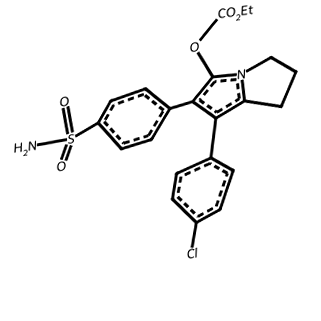 CCOC(=O)Oc1c(-c2ccc(S(N)(=O)=O)cc2)c(-c2ccc(Cl)cc2)c2n1CCC2